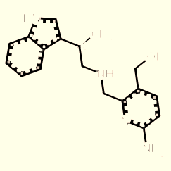 C[C@@H](CNCc1nc(N)ccc1CO)c1c[nH]c2ccccc12